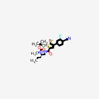 CCC[C@H](CNC(=O)c1cc(-c2ccc(C#N)c(F)c2)c(Br)s1)N(C)C(=O)OC(C)(C)C